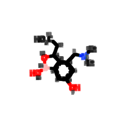 CCN(CC)Cc1cc(O)cc2c1C(CC(=O)O)OB2O